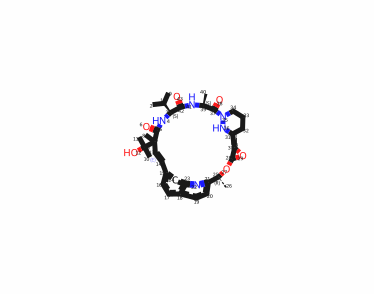 CC(C)[C@@H]1NC(=O)C(C)(C(C)(C)O)/C=C/c2ccc3ccc(nc3c2)[C@@H](C)OC2OC2[C@@H]2CCCN(N2)C(=O)[C@H](C)NC1=O